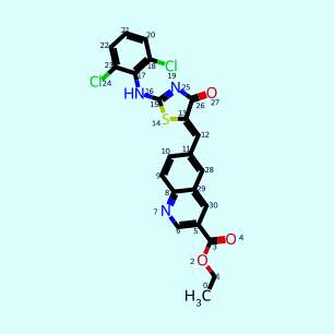 CCOC(=O)c1cnc2ccc(/C=C3\SC(Nc4c(Cl)cccc4Cl)=NC3=O)cc2c1